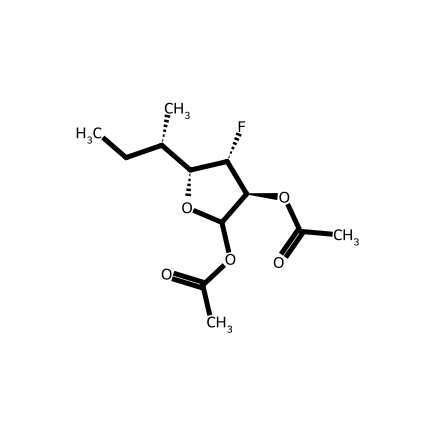 CC[C@H](C)[C@H]1OC(OC(C)=O)[C@H](OC(C)=O)[C@H]1F